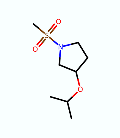 CC(C)OC1CCN(S(C)(=O)=O)C1